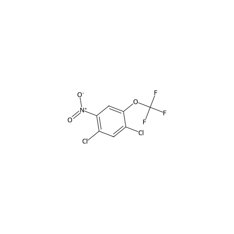 O=[N+]([O-])c1cc(OC(F)(F)F)c(Cl)cc1Cl